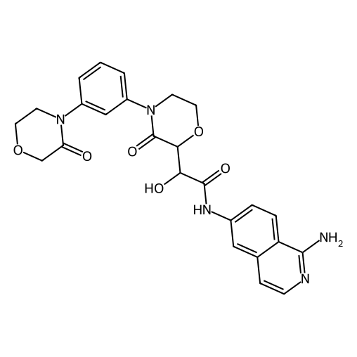 Nc1nccc2cc(NC(=O)C(O)C3OCCN(c4cccc(N5CCOCC5=O)c4)C3=O)ccc12